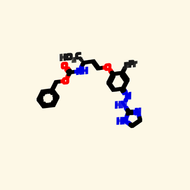 CCCC1=CC(=NNC2=NCCN2)CC=C1OCC[C@H](NC(=O)OCc1ccccc1)C(=O)O